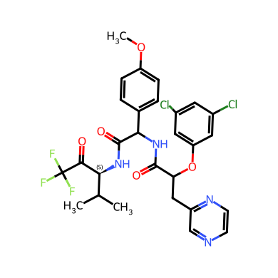 COc1ccc(C(NC(=O)C(Cc2cnccn2)Oc2cc(Cl)cc(Cl)c2)C(=O)N[C@H](C(=O)C(F)(F)F)C(C)C)cc1